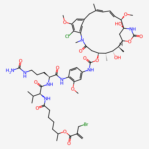 C=C(CBr)C(=O)OC(C)CCCCC(=O)N[C@H](C(=O)N[C@@H](CCCNC(N)=O)C(=O)Nc1ccc(NC(=O)O[C@H]2CC(=O)N(C)c3cc(cc(OC)c3Cl)C/C(C)=C/C=C/[C@@H](OC)[C@@]3(O)C[C@H](OC(=O)N3)[C@@H](C)[C@H](O)[C@@H]2C)cc1OC)C(C)C